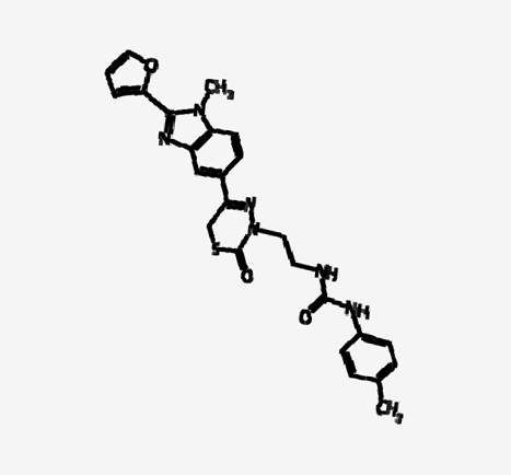 Cc1ccc(NC(=O)NCCN2N=C(c3ccc4c(c3)nc(-c3ccco3)n4C)CSC2=O)cc1